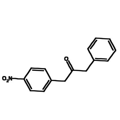 O=C(Cc1ccccc1)Cc1ccc([N+](=O)[O-])cc1